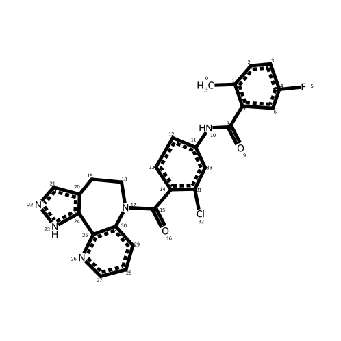 Cc1ccc(F)cc1C(=O)Nc1ccc(C(=O)N2CCc3cn[nH]c3-c3ncccc32)c(Cl)c1